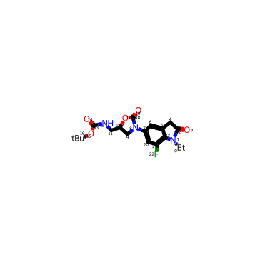 CCN1C(=O)Cc2cc(N3CC(CNC(=O)OC(C)(C)C)OC3=O)cc(F)c21